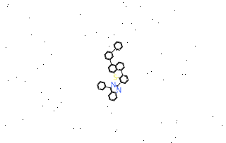 c1ccc(-c2cccc(-c3ccc4c5c(cccc35)-c3cccc(-c5nc(-c6ccccc6)c6ccccc6n5)c3S4)c2)cc1